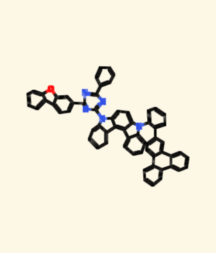 c1ccc(-c2nc(-c3ccc4c(c3)oc3ccccc34)nc(-n3c4ccccc4c4c5c6ccccc6n(-c6ccccc6-c6ccc7c8ccccc8c8ccccc8c7c6)c5ccc43)n2)cc1